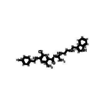 N/C(=N\C(=O)c1nc(Cl)c(NCc2ccc(I)cc2)nc1N)NCCNCc1c[nH]c2ccccc12